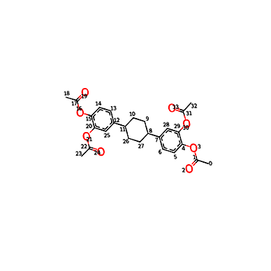 CC(=O)Oc1ccc(C2CCC(c3ccc(OC(C)=O)c(OC(C)=O)c3)CC2)cc1OC(C)=O